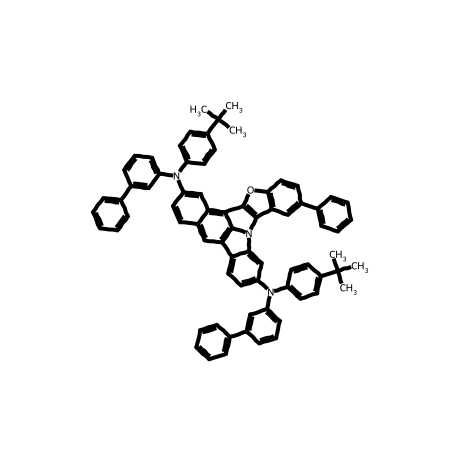 CC(C)(C)c1ccc(N(c2cccc(-c3ccccc3)c2)c2ccc3cc4c5ccc(N(c6ccc(C(C)(C)C)cc6)c6cccc(-c7ccccc7)c6)cc5n5c6c7cc(-c8ccccc8)ccc7oc6c(c3c2)c45)cc1